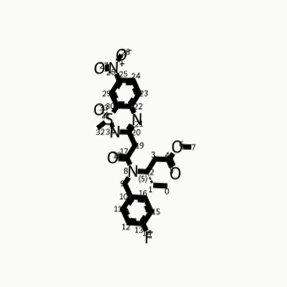 CC[C@@H](CC(=O)OC)N(Cc1ccc(F)cc1)C(=O)CC1=Nc2ccc([N+](=O)[O-])cc2S(C)(=O)=N1